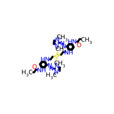 CCC(=O)Nc1ccc(NCCSSCCNc2ccc(NC(=O)CC)cc2/N=N/c2n(C)cc[n+]2C)c(/N=N/c2n(C)cc[n+]2C)c1